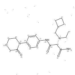 CCN(CC1CCC1)[C@H](C(N)=O)C(=O)Nc1ccc(N2CCOCC2=O)cc1